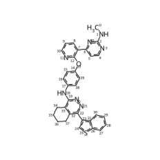 CNc1nccc(-c2cccnc2Oc2ccc(Nc3nnc(-c4csc5ccccc45)c4c3CCCC4)cc2)n1